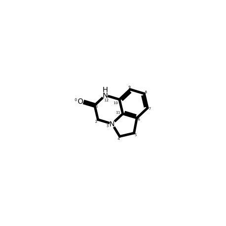 O=C1CN2CCc3cccc(c32)N1